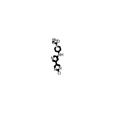 CC(C)(C)OC(=O)N1CCC(Nc2cncc(-c3cnc(Cl)nc3)c2)CC1